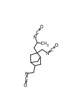 CC(CC1(CN=C=O)CC2CC1CC2CN=C=O)N=C=O